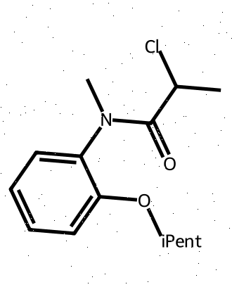 CCCC(C)Oc1ccccc1N(C)C(=O)C(C)Cl